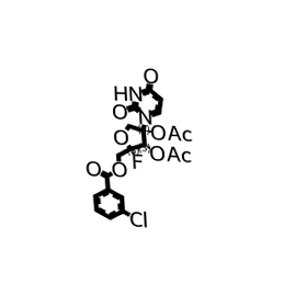 CC(=O)O[C@@H]1[C@@](F)(COC(=O)c2cccc(Cl)c2)OC[C@@]1(OC(C)=O)n1ccc(=O)[nH]c1=O